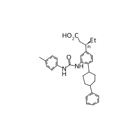 CC[C@H](CC(=O)O)c1ccc(C2CCC(c3ccccc3)CC2)c(NC(=O)Nc2ccc(C)cc2)c1